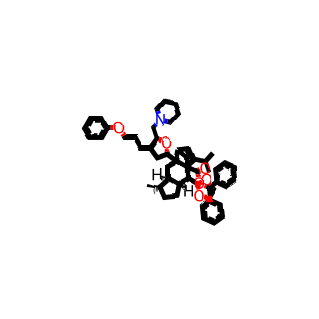 CC(C)C1=CC2CC3(C4OCCO4)[C@@H]4CC[C@@H](C)[C@H]4CC2(C2CC(CCCOc4ccccc4)C(CN4CCCCC4)O2)C13C(=O)OC(c1ccccc1)c1ccccc1